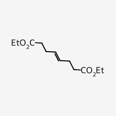 CCOC(=O)CCC=CCCC(=O)OCC